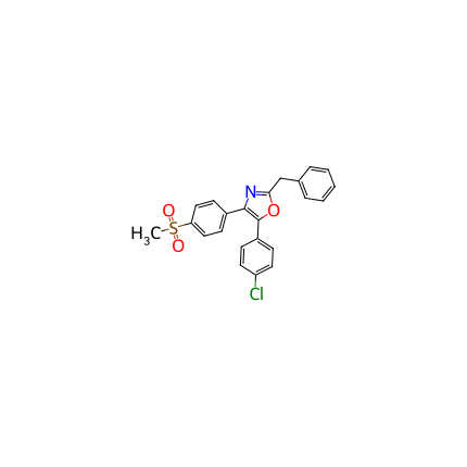 CS(=O)(=O)c1ccc(-c2nc(Cc3ccccc3)oc2-c2ccc(Cl)cc2)cc1